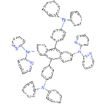 c1ccc(N(c2ccccc2)c2ccc(-c3c4ccc(N(c5ccccn5)c5ccccn5)cc4c(-c4ccc(N(c5ccccc5)c5ccccc5)cc4)c4ccc(N(c5ccccn5)c5ccccn5)cc34)cc2)cc1